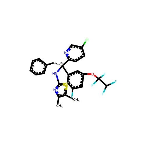 Cc1nc(N[C@](Cc2ccccc2)(c2cc(F)cc(OC(F)(F)C(F)F)c2)c2ccc(Cl)cn2)sc1C